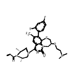 C=CC(=O)N1[C@H](C)CN(c2nc(=O)n3c4c(c(-c5ccc(F)cc5F)c(C(F)(F)F)cc24)SCC(OCCN(C)C)C3)C[C@@H]1C